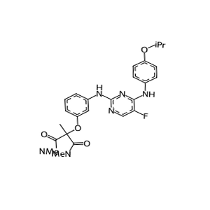 CNC(=O)C(C)(Oc1cccc(Nc2ncc(F)c(Nc3ccc(OC(C)C)cc3)n2)c1)C(=O)NC